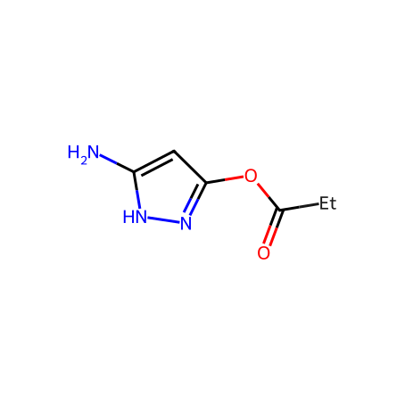 CCC(=O)Oc1cc(N)[nH]n1